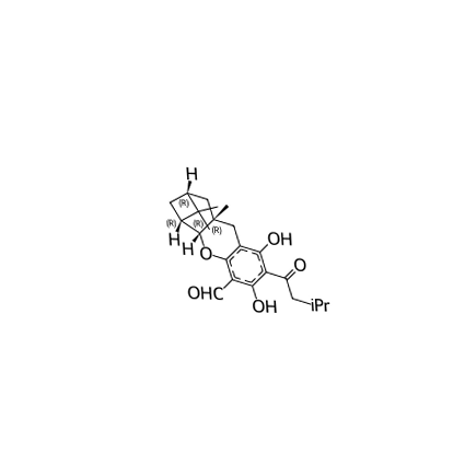 CC(C)CC(=O)c1c(O)c(C=O)c2c(c1O)C[C@@]1(C)C[C@H]3C[C@@H]([C@H]1O2)C3(C)C